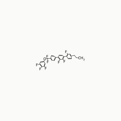 CCCc1ccc(-c2ccc(-c3ccc(C(F)(F)Oc4cc(F)c(F)c(F)c4)cc3)c(F)c2F)c(F)c1